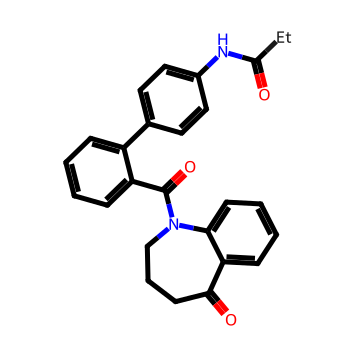 CCC(=O)Nc1ccc(-c2ccccc2C(=O)N2CCCC(=O)c3ccccc32)cc1